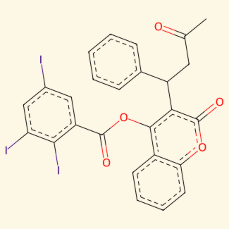 CC(=O)CC(c1ccccc1)c1c(OC(=O)c2cc(I)cc(I)c2I)c2ccccc2oc1=O